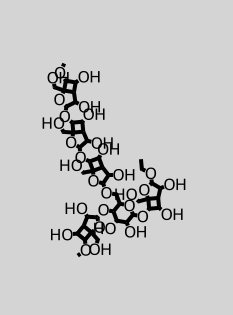 CCOC1OC2(CO)C(OC3OC(COC4OC5(CO)C(OC6OC7(CO)C(OC8OC9(CO)C(OC)C(O)C9C8O)C(O)C7C6O)C(O)C5C4O)C(OC4OC5(CO)C(OC)C(O)C5C4O)C(O)C3O)C(O)C2C1O